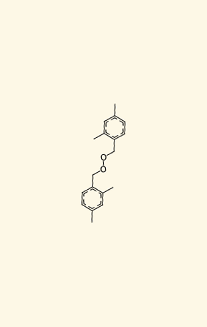 Cc1ccc(COOCc2ccc(C)cc2C)c(C)c1